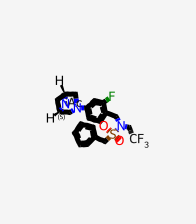 CC(=O)N1[C@@H]2C[C@H]1CN(c1ccc(CN(CC(F)(F)F)S(=O)(=O)Cc3ccccc3)c(F)c1)C2